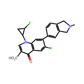 CN1Cc2ccc(-c3cc4c(cc3F)c(=O)c(C(=O)O)cn4C3CC3F)cc2C1